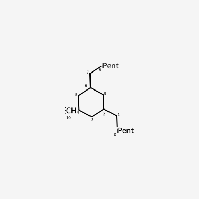 CCCC(C)CC1CCCC(CC(C)CCC)C1.[CH]